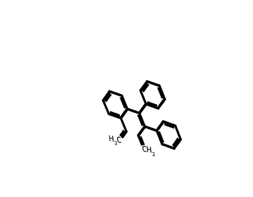 C=CC(=C(c1ccccc1)c1ccccc1C=C)c1ccccc1